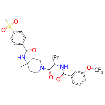 CC(C)C(NC(=O)c1cccc(OC(F)(F)F)c1)C(=O)N1CCC(C)(NC(=O)c2ccc(S(C)(=O)=O)cc2)CC1